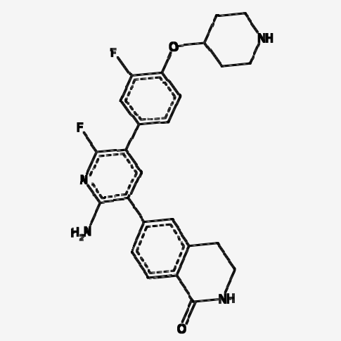 Nc1nc(F)c(-c2ccc(OC3CCNCC3)c(F)c2)cc1-c1ccc2c(c1)CCNC2=O